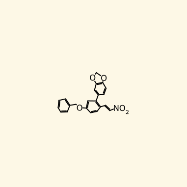 O=[N+]([O-])C=Cc1ccc(OCc2ccccc2)cc1-c1ccc2c(c1)OCO2